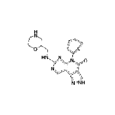 O=c1c2c[nH]nc2c2cnc(NCC3CNCCO3)nc2n1-c1ccccc1